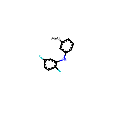 COc1cccc(Nc2cc(F)ccc2F)c1